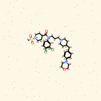 CS(=O)(=O)N1CCC(C(=O)N(CCCN2CCC(Cc3ccc(N4CCOCC4)cc3)CC2)c2ccc(Cl)c(Cl)c2)CC1